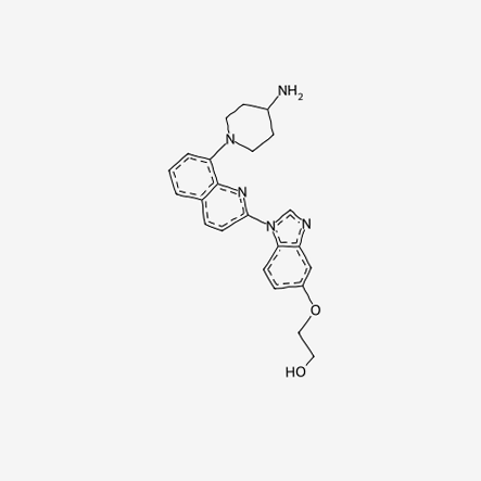 NC1CCN(c2cccc3ccc(-n4cnc5cc(OCCO)ccc54)nc23)CC1